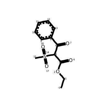 CCOC(=O)C(C(=O)c1ccccc1)S(C)(=O)=O